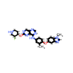 Cc1cc(Nc2ncnc3cnc(O[C@H]4CCNC[C@@H]4F)nc23)ccc1Oc1ccc2c(c1)ncn2C